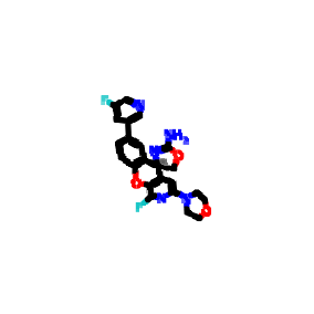 NC1=N[C@@]2(CO1)c1cc(-c3cncc(F)c3)ccc1Oc1c2cc(N2CCOCC2)nc1F